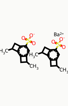 CC1Cc2c1cc(S(=O)(=O)[O-])c1c2C(C)C1.CC1Cc2c1cc(S(=O)(=O)[O-])c1c2C(C)C1.[Ba+2]